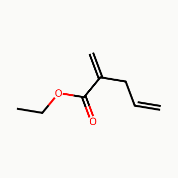 C=CCC(=C)C(=O)OCC